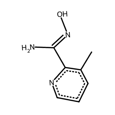 Cc1cccnc1C(N)=NO